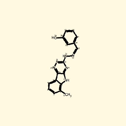 Cc1cccc2c1[nH]c1nc(N/N=C\c3cccc(O)c3)nnc12